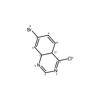 ClC1=NC=NC2C=C(Br)C=CC12